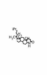 CC(C)CCC[C@@H](C)[C@H]1CCC2C3CCC4NC(=O)CC[C@]4(C)C3CC[C@@]21C